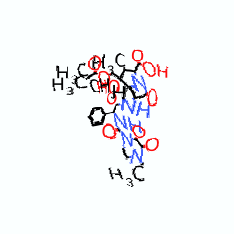 CCN1CCN(C(=O)NC(C(=O)NC2C(=O)N3C(C(=O)O)C(C)C(O)(COC(=O)C(C)(C)C)[C@H]23)c2ccccc2)C(=O)C1=O